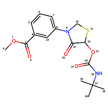 COC(=O)c1cccc(N2CSC(OC(=O)NC(C)(C)C)C2=O)c1